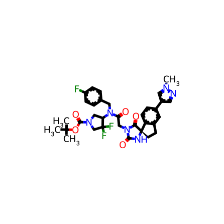 Cn1cc(-c2ccc3c(c2)CC[C@]32NC(=O)N(CC(=O)N(Cc3ccc(F)cc3)C3CN(C(=O)OC(C)(C)C)CC3(F)F)C2=O)cn1